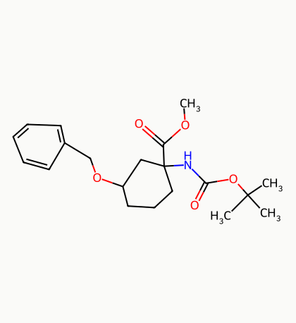 COC(=O)C1(NC(=O)OC(C)(C)C)CCCC(OCc2ccccc2)C1